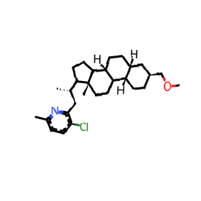 COC[C@H]1CC[C@@H]2C3CC[C@@]4(C)C(CCC4[C@@H](C)Cc4nc(C)ccc4Cl)[C@@H]3CC[C@@H]2C1